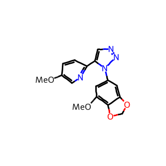 COc1ccc(-c2cnnn2-c2cc(OC)c3c(c2)OCO3)nc1